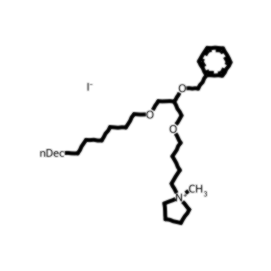 CCCCCCCCCCCCCCCCOCC(COCCCC[N+]1(C)CCCC1)OCc1ccccc1.[I-]